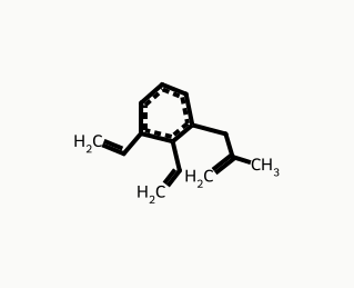 C=Cc1cccc(CC(=C)C)c1C=C